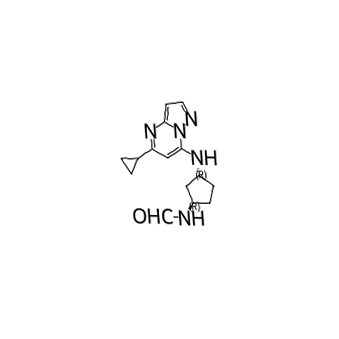 O=CN[C@@H]1CC[C@@H](Nc2cc(C3CC3)nc3ccnn23)C1